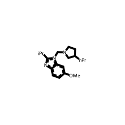 CCCC1CCN(Cn2c(C(C)C)nc3ccc(OC)cc32)C1